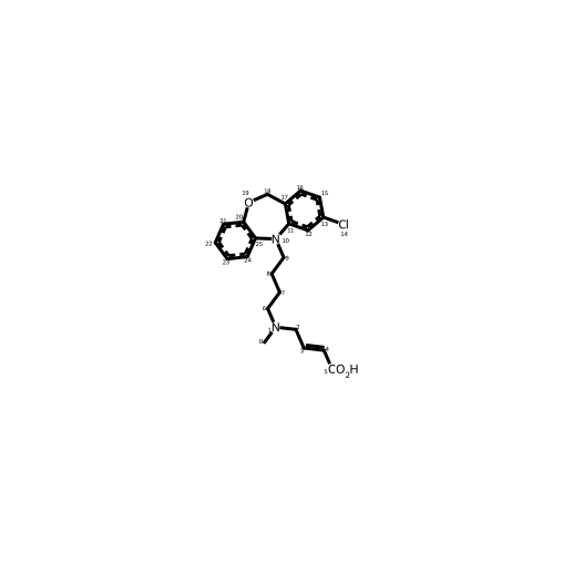 CN(C/C=C/C(=O)O)CCCCN1c2cc(Cl)ccc2COc2ccccc21